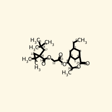 CCC1CC2CC(C1)C(OC(=O)COC(=O)C1(CC(C)(C)C)CC1(C)C)C(C)OC2=O